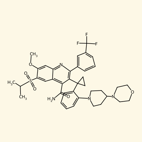 COc1cc2nc(-c3cccc(C(F)(F)F)c3)c(C3(c4ccccc4N4CCC(N5CCOCC5)CC4)CC3)c(C(N)=O)c2cc1S(=O)(=O)C(C)C